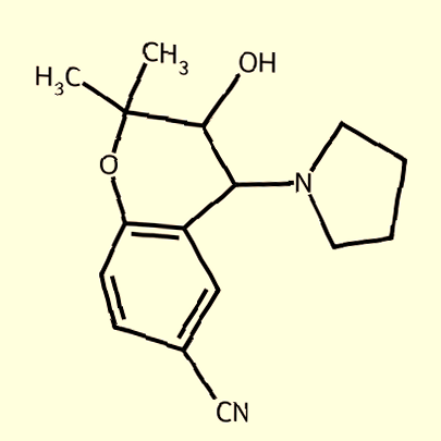 CC1(C)Oc2ccc(C#N)cc2C(N2CCCC2)C1O